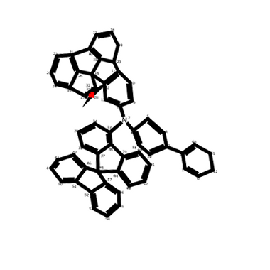 C1=CC(c2ccc(N(c3ccc4c(c3)C35C6=C(C=CCC64)c4cccc(c43)-c3ccccc35)c3cccc4c3-c3ccccc3C43c4ccccc4-c4ccccc43)cc2)=CCC1